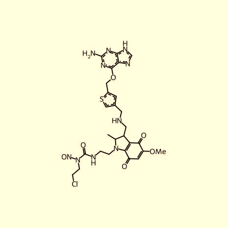 COC1=CC(=O)C2=C(C1=O)C(CNCc1csc(COc3nc(N)nc4[nH]cnc34)c1)C(C)N2CCNC(=O)N(CCCl)N=O